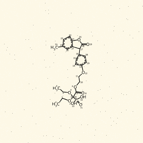 CCOC(OCC)(C(=O)OCCOc1ccc(C2C(=O)Oc3ccc(C)cc32)cc1)P(=O)(O)O